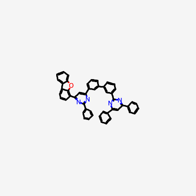 c1ccc(-c2cc(-c3ccccc3)nc(-c3cccc(-c4cccc(-c5cc(-c6cccc7c6oc6ccccc67)nc(-c6ccccc6)n5)c4)c3)n2)cc1